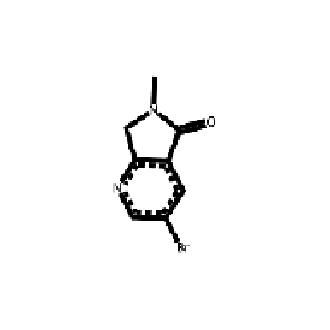 CN1Cc2ncc(Br)cc2C1=O